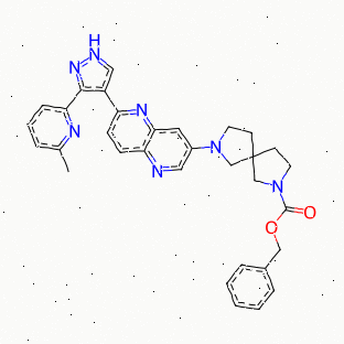 Cc1cccc(-c2n[nH]cc2-c2ccc3ncc(N4CCC5(CCN(C(=O)OCc6ccccc6)C5)C4)cc3n2)n1